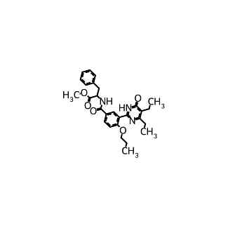 CCCOc1ccc(C(=O)NC(Cc2ccccc2)C(=O)OC)cc1-c1nc(CC)c(CC)c(=O)[nH]1